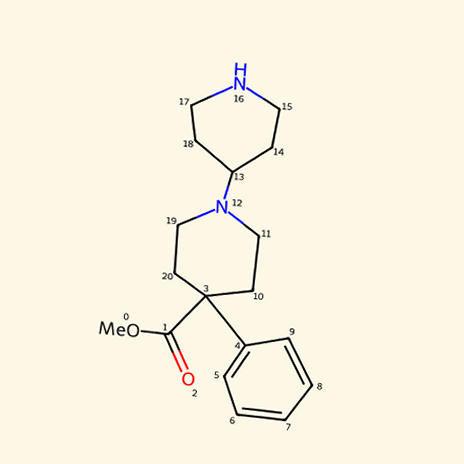 COC(=O)C1(c2ccccc2)CCN(C2CCNCC2)CC1